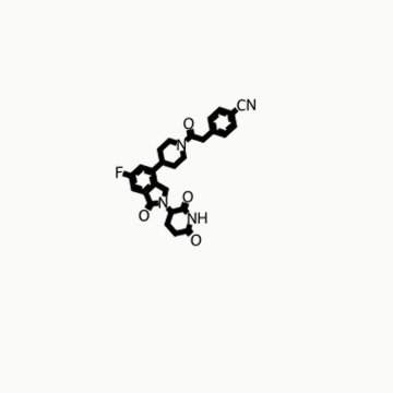 N#Cc1ccc(CC(=O)N2CCC(c3cc(F)cc4c3CN(C3CCC(=O)NC3=O)C4=O)CC2)cc1